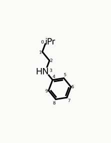 [CH2]C(C)CCNc1ccccc1